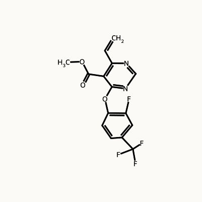 C=Cc1ncnc(Oc2ccc(C(F)(F)F)cc2F)c1C(=O)OC